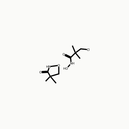 CC(C)(CCl)C(=O)NO.CC1(C)CONC1=O